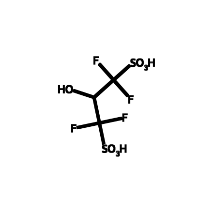 O=S(=O)(O)C(F)(F)C(O)C(F)(F)S(=O)(=O)O